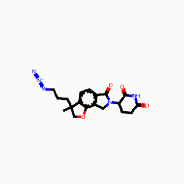 CC1(CCCN=[N+]=[N-])COc2c1ccc1c2CN(C2CCC(=O)NC2=O)C1=O